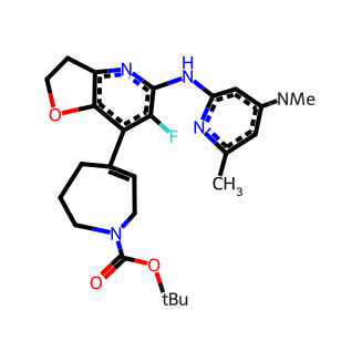 CNc1cc(C)nc(Nc2nc3c(c(C4=CCN(C(=O)OC(C)(C)C)CCC4)c2F)OCC3)c1